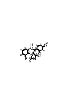 COc1ccc(C(O)c2c(Cl)nc(C)n2-c2c(F)cccc2F)c(Cl)c1